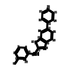 Cc1cccc(Nc2nc3ccc(-c4ccncc4)cc3s2)n1